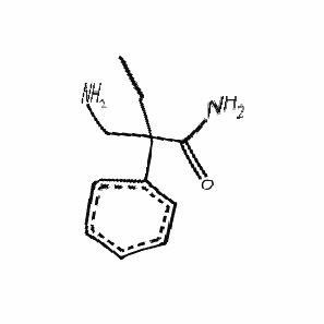 CCC(CN)(C(N)=O)c1ccccc1